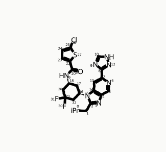 CC(C)Cc1nc2cnc(-c3nc[nH]n3)cc2n1[C@H]1C[C@@H](NC(=O)c2ccc(Cl)s2)CC(F)(F)C1